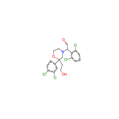 O=CC(c1c(Cl)cccc1Cl)N1CCOC(CCO)(c2ccc(Cl)c(Cl)c2)C1